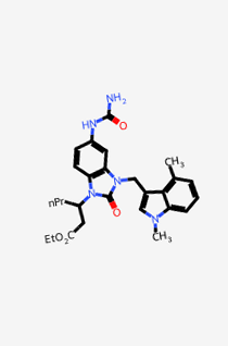 CCCC(CC(=O)OCC)n1c(=O)n(Cc2cn(C)c3cccc(C)c23)c2cc(NC(N)=O)ccc21